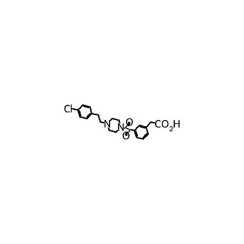 O=C(O)Cc1cccc(S(=O)(=O)N2CCN(CCc3ccc(Cl)cc3)CC2)c1